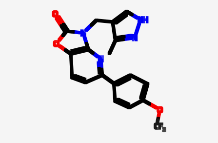 Cc1n[nH]cc1Cn1c(=O)oc2ccc(-c3ccc(OC(F)(F)F)cc3)nc21